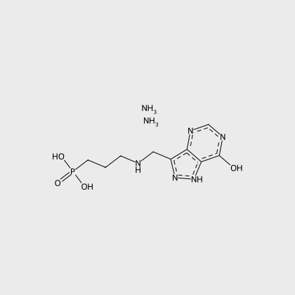 N.N.O=P(O)(O)CCCNCc1n[nH]c2c(O)ncnc12